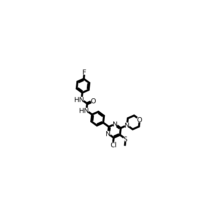 CSc1c(Cl)nc(-c2ccc(NC(=O)Nc3ccc(F)cc3)cc2)nc1N1CCOCC1